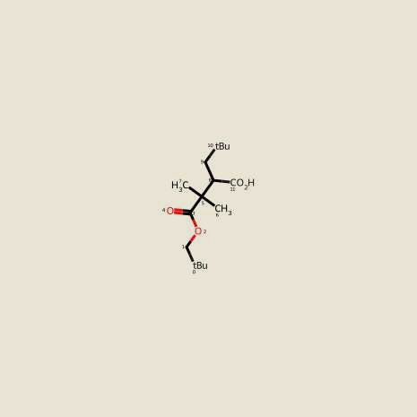 CC(C)(C)COC(=O)C(C)(C)C(CC(C)(C)C)C(=O)O